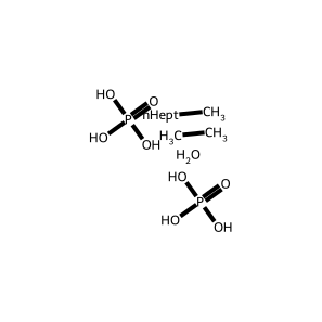 CC.CCCCCCCC.O.O=P(O)(O)O.O=P(O)(O)O